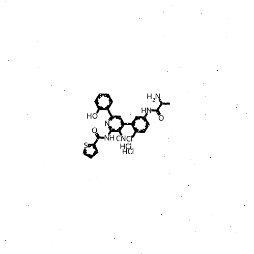 CC(N)C(=O)Nc1ccc(Cl)c(-c2cc(-c3ccccc3O)nc(NC(=O)c3cccs3)c2C#N)c1.Cl.Cl